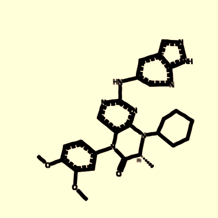 COc1ccc(N2C(=O)[C@@H](C)N(C3CCCCC3)c3nc(Nc4cnc5[nH]ncc5c4)ncc32)cc1OC